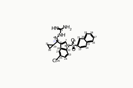 N=C(N)N/N=C(\c1cn(S(=O)(=O)c2ccc3ccccc3c2)c2ccc(Cl)cc12)C1CC1